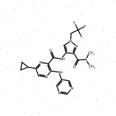 CN(C)C(=O)c1nn(CC(F)(F)F)cc1NC(=O)c1nc(C2CC2)cnc1Nc1cncnc1